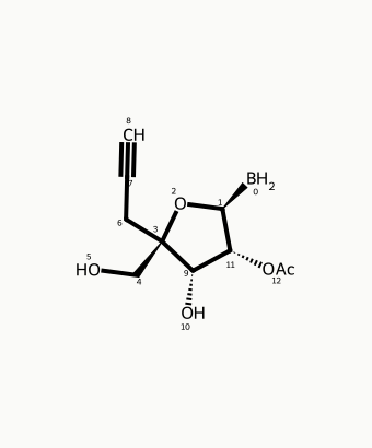 B[C@@H]1O[C@@](CO)(CC#C)[C@@H](O)[C@H]1OC(C)=O